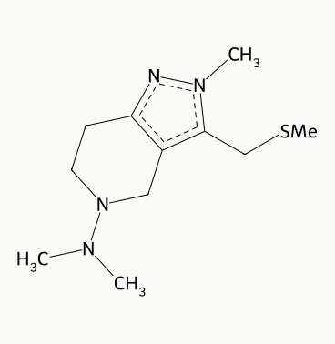 CSCc1c2c(nn1C)CCN(N(C)C)C2